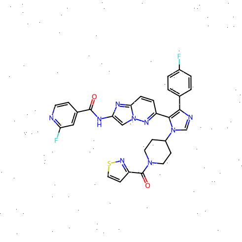 O=C(Nc1cn2nc(-c3c(-c4ccc(F)cc4)ncn3C3CCN(C(=O)c4ccsn4)CC3)ccc2n1)c1ccnc(F)c1